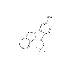 CC(C)(C)c1ccc2c(c1)C1Cc3ccccc3C1N2CS(C)(C)C